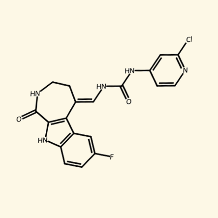 O=C(NC=C1CCNC(=O)c2[nH]c3ccc(F)cc3c21)Nc1ccnc(Cl)c1